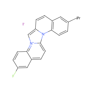 CC(C)c1ccc2c(ccc3c[n+]4c5ccc(F)cc5ccc4n32)c1.[I-]